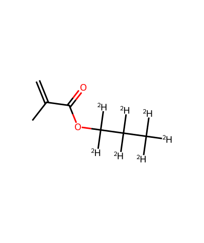 [2H]C([2H])([2H])C([2H])([2H])C([2H])([2H])OC(=O)C(=C)C